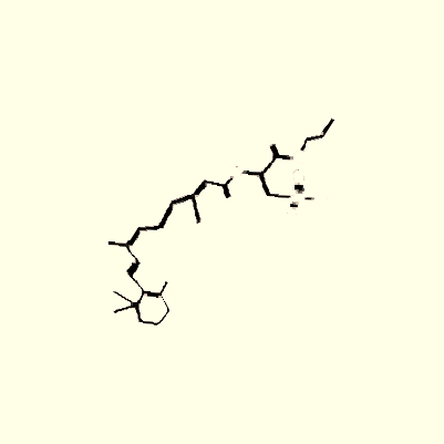 C=CCOC(=O)C(CS(=O)(=O)O)NC(=O)/C=C(C)/C=C/C=C(C)\C=C\C1=C(C)CCCC1(C)C